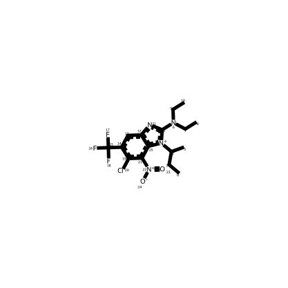 CCC(C)n1c(N(CC)CC)nc2cc(C(F)(F)F)c(Cl)c([N+](=O)[O-])c21